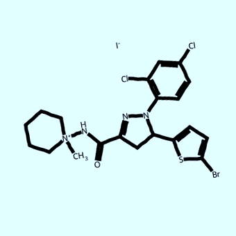 C[N+]1(NC(=O)C2=NN(c3ccc(Cl)cc3Cl)C(c3ccc(Br)s3)C2)CCCCC1.[I-]